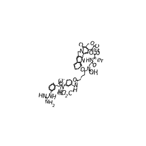 CC[C@@]1(OC(=O)[C@@H](NC(=O)CN(O)C(=O)CCCC(=O)NC(CC(=O)O)c2cccc(N[S+]([O-])c3cccc(NC(=N)N)c3)c2)C(C)C)C(=O)OCc2c1cc1n(c2=O)Cc2cc3ccccc3nc2-1